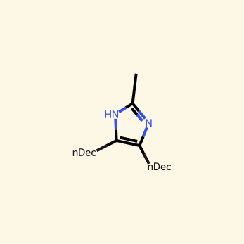 CCCCCCCCCCc1nc(C)[nH]c1CCCCCCCCCC